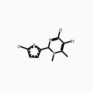 CCC1=C(C)N(C)C(c2ccc(Cl)s2)N=C1Cl